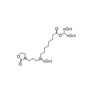 CCCCCCCCC(CCCCCCCC)OC(=O)CCCCCCCN(CCCCCCCC)CCCN1CCOC1=O